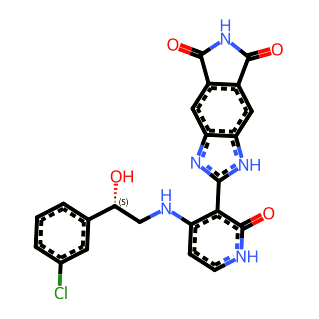 O=C1NC(=O)c2cc3[nH]c(-c4c(NC[C@@H](O)c5cccc(Cl)c5)cc[nH]c4=O)nc3cc21